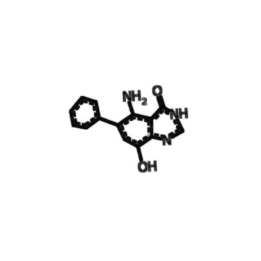 Nc1c(-c2ccccc2)cc(O)c2nc[nH]c(=O)c12